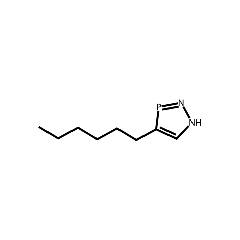 CCCCCCc1c[nH]np1